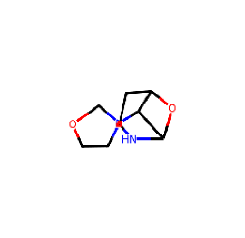 C1CC2OC(N1)C2N1CCOC1